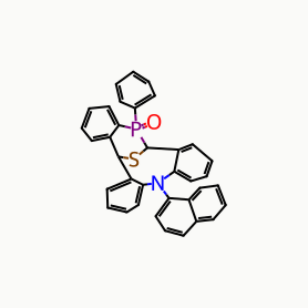 O=P1(c2ccccc2)c2ccccc2C2SC1c1ccccc1N(c1cccc3ccccc13)c1ccccc12